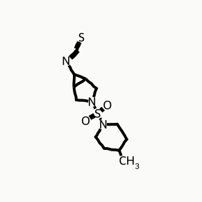 CC1CCN(S(=O)(=O)N2CC3C(C2)C3N=C=S)CC1